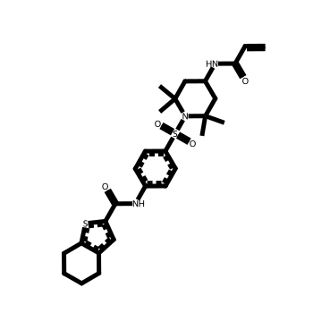 C=CC(=O)NC1CC(C)(C)N(S(=O)(=O)c2ccc(NC(=O)c3cc4c(s3)CCCC4)cc2)C(C)(C)C1